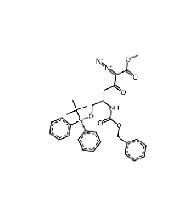 COC(=O)C(=[N+]=[N-])C(=O)C[C@@H](CO[Si](c1ccccc1)(c1ccccc1)C(C)(C)C)NC(=O)OCc1ccccc1